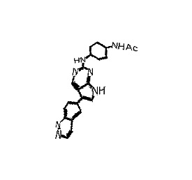 CC(=O)NC1CCC(Nc2ncc3c(-c4ccc5nnccc5c4)c[nH]c3n2)CC1